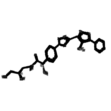 O=C(NC[C@@H](O)CO)[C@@H](O)c1ccc(-c2noc(-c3onc(-c4ccccc4)c3C(F)(F)F)n2)cc1